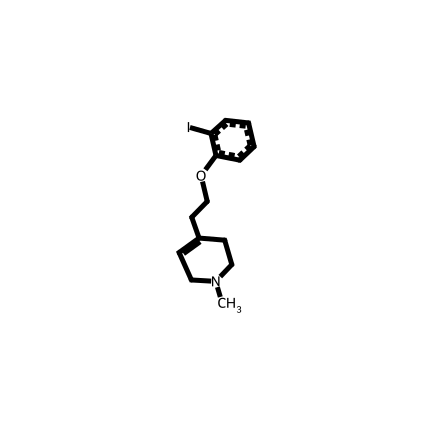 CN1CC=C(CCOc2ccccc2I)CC1